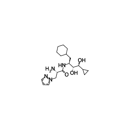 N[C@@H](Cn1cccn1)C(=O)N[C@@H](CC1CCCCC1)[C@@H](O)[C@@H](O)C1CC1